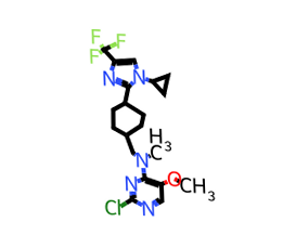 COc1cnc(Cl)nc1N(C)CC1CCC(c2nc(C(F)(F)F)cn2C2CC2)CC1